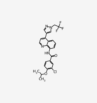 CC(C)Oc1ccc(C(=O)Nc2cccc3c(-c4cnn(CC(F)(F)F)c4)ccnc23)cc1Cl